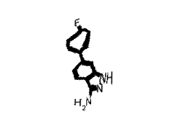 Nc1n[nH]c2cc(-c3ccc(F)cc3)ccc12